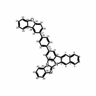 c1ccc2cc3c(cc2c1)c1cc(-c2ccc(-c4ccc5oc6ccccc6c5c4)cc2)cc2c1n3c1nc3ccccc3n21